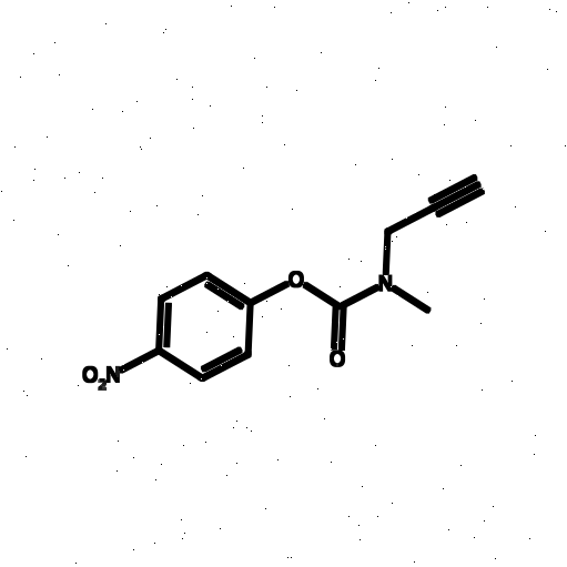 C#CCN(C)C(=O)Oc1ccc([N+](=O)[O-])cc1